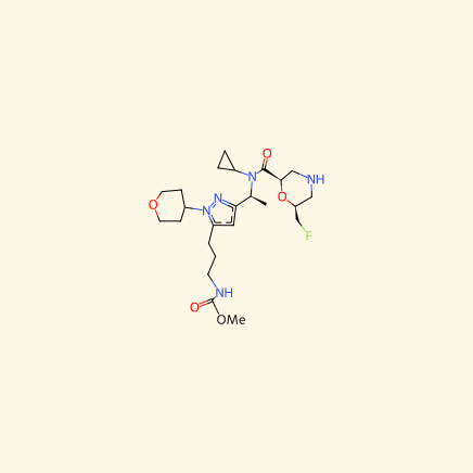 COC(=O)NCCCc1cc([C@H](C)N(C(=O)[C@H]2CNC[C@@H](CF)O2)C2CC2)nn1C1CCOCC1